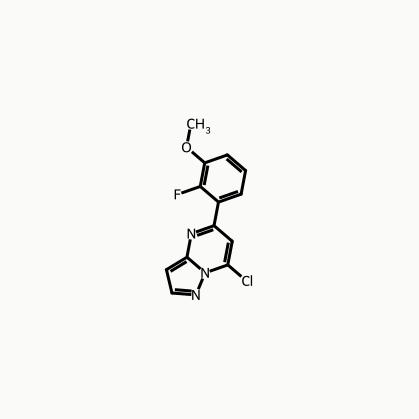 COc1cccc(-c2cc(Cl)n3nccc3n2)c1F